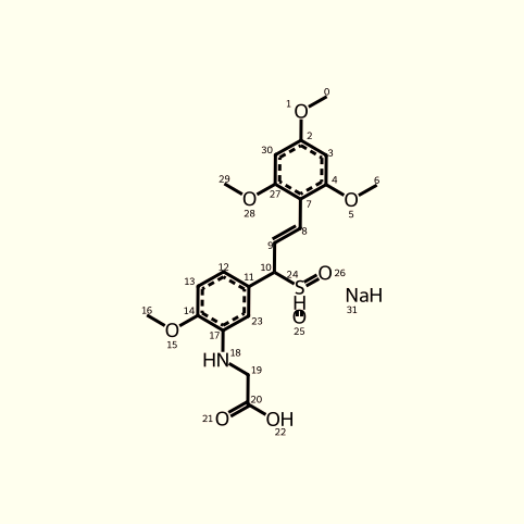 COc1cc(OC)c(/C=C/C(c2ccc(OC)c(NCC(=O)O)c2)[SH](=O)=O)c(OC)c1.[NaH]